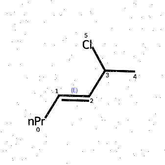 CCC/C=C/C(C)Cl